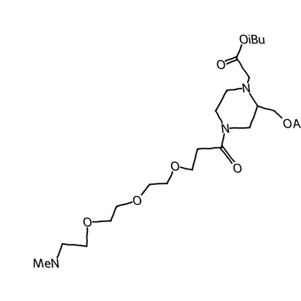 CNCCOCCOCCOCCC(=O)N1CCN(CC(=O)OCC(C)C)C(COC(C)=O)C1